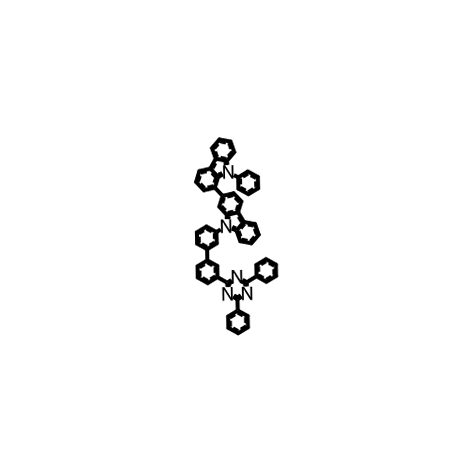 c1ccc(-c2nc(-c3ccccc3)nc(-c3cccc(-c4cccc(-n5c6ccccc6c6ccc(-c7cccc8c9ccccc9n(-c9ccccc9)c78)cc65)c4)c3)n2)cc1